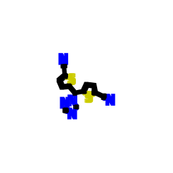 N#Cc1ccc(C(c2ccc(C#N)s2)n2cncn2)s1